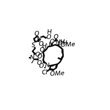 COc1cc2cc(c1Cl)N(C)C(=O)C[C@H](OC(=O)[C@@H](C)N(C)C(=O)CCSC1CC(=O)N(CCO)C1=O)[C@]1(C)O[C@H]1[C@H](C)[C@@H]1C[C@@](O)(NC(=O)O1)[C@H](OC)/C=C/C=C(\C)C2